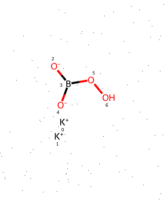 [K+].[K+].[O-]B([O-])OO